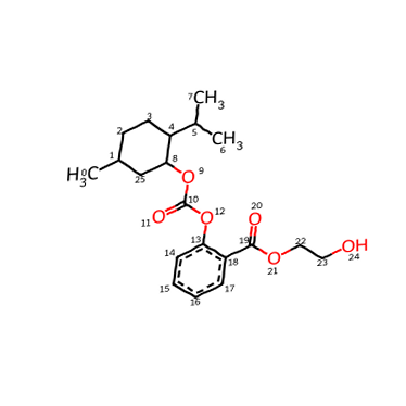 CC1CCC(C(C)C)C(OC(=O)Oc2ccccc2C(=O)OCCO)C1